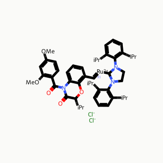 COc1ccc(C(=O)N2C(=O)C(C(C)C)Oc3c(/[CH]=[Ru+2]/[CH]4N(c5c(C(C)C)cccc5C(C)C)CCN4c4c(C(C)C)cccc4C(C)C)cccc32)c(OC)c1.[Cl-].[Cl-]